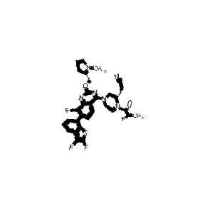 C=C(F)C(=O)N1CCN(c2nc(OC[C@@H]3CCCN3C)nc3c(F)c(-c4cccc5c(F)c(F)sc45)ccc23)C[C@@H]1CC#N